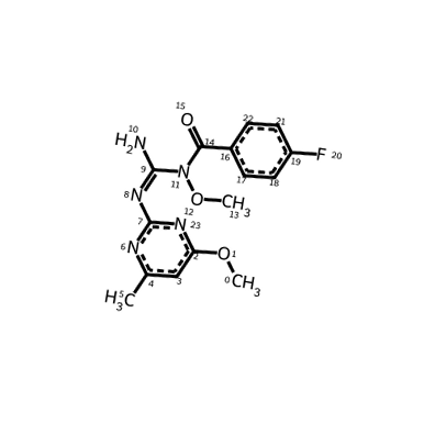 COc1cc(C)nc(N=C(N)N(OC)C(=O)c2ccc(F)cc2)n1